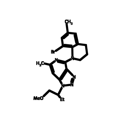 CCC(COC)n1nnc2c(N3CCCc4cc(C)cc(Br)c43)nc(C)cc21